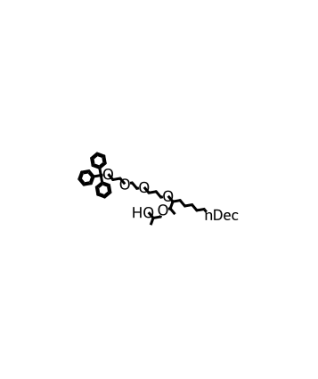 CCCCCCCCCCCCCCCC(OCCCOCCOCCOC(c1ccccc1)(c1ccccc1)c1ccccc1)C(C)OCC(C)O